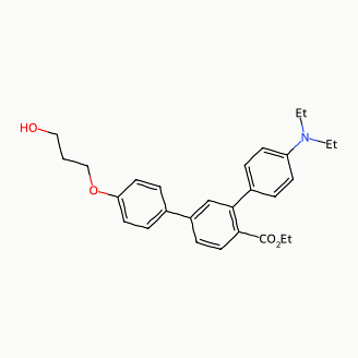 CCOC(=O)c1ccc(-c2ccc(OCCCO)cc2)cc1-c1ccc(N(CC)CC)cc1